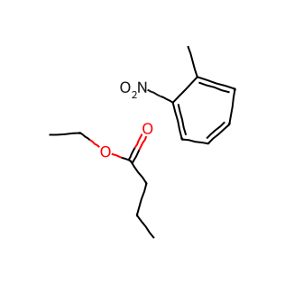 CCCC(=O)OCC.Cc1ccccc1[N+](=O)[O-]